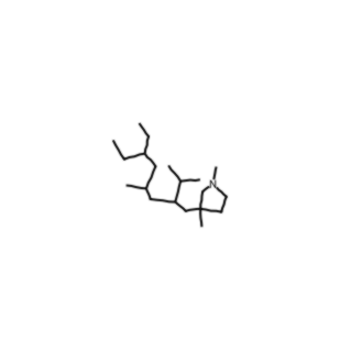 CCC(CC)CC(C)CC(CC1(C)CCN(C)C1)C(C)C